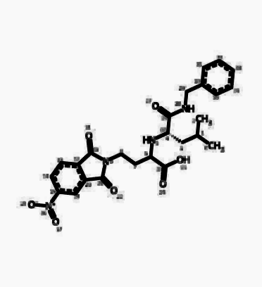 CC(C)C[C@H](NC(CCN1C(=O)c2ccc([N+](=O)[O-])cc2C1=O)C(=O)O)C(=O)NCc1ccccc1